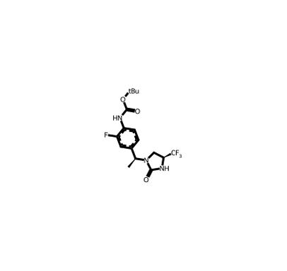 C[C@@H](c1ccc(NC(=O)OC(C)(C)C)c(F)c1)N1C[C@@H](C(F)(F)F)NC1=O